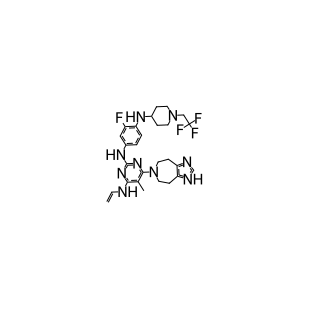 C=CNc1nc(Nc2ccc(NC3CCN(CC(F)(F)F)CC3)c(F)c2)nc(N2CCc3nc[nH]c3CC2)c1C